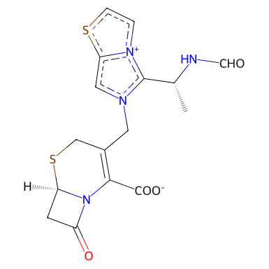 C[C@@H](NC=O)c1n(CC2=C(C(=O)[O-])N3C(=O)C[C@H]3SC2)cc2scc[n+]12